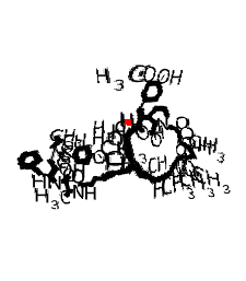 COc1ccc(S(=O)(=O)N(CC(C)C)C[C@@H](O)[C@H](Cc2ccccc2)NC(=O)C(C)NC(=O)CC/C=C/C[C@@H]2/C=C(\C)C[C@H](C)C[C@H](OC)[C@H]3O[C@@](O)(C(=O)C(=O)N4CCCC5/C(=C\[C@@H]6CC[C@@H](O)[C@H](OC)C6)[C@@H](OC(=O)[C@H]54)[C@H](C)[C@@H](O)CC2=O)[C@H](C)C[C@@H]3OC)cc1